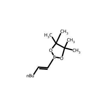 CCCCC=CB1OC(C)(C)C(C)(C)O1